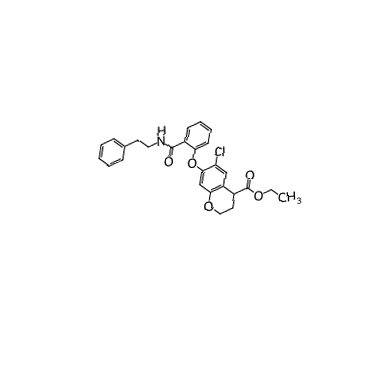 CCOC(=O)C1CCOc2cc(Oc3ccccc3C(=O)NCCc3ccccc3)c(Cl)cc21